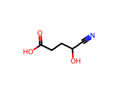 N#CC(O)CCC(=O)O